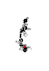 CC(C)C(C(=O)N1C[C@H](O)C[C@H]1C(=O)NCc1ccc(C#N)cc1)c1cc(OCCCCN2CCCN(c3nccc(C(=N)NC(=O)[C@@]4(C)CCCc5sc(N)c(C#N)c54)n3)[C@@H](C)C2)no1